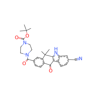 CC(C)(C)OC(=O)N1CCN(C(=O)c2ccc3c(c2)C(C)(C)c2[nH]c4cc(C#N)ccc4c2C3=O)CC1